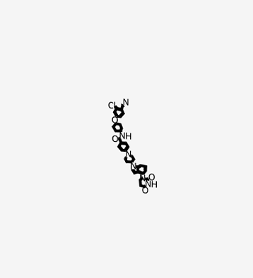 N#Cc1ccc(OC2CCC(NC(=O)c3ccc(N4CCC(n5ccc6c(N7CCC(=O)NC7=O)cccc65)CC4)cc3)CC2)cc1Cl